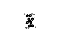 CC(C)(C)c1ccc2c(c1)c1cc(C(C)(C)C)ccc1n2-c1ccc2c(-c3ccc(F)cc3)c3cc(-n4c5ccc(C(C)(C)C)cc5c5cc(C(C)(C)C)ccc54)ccc3c(-c3ccc(F)cc3)c2c1